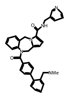 CNCc1ccccc1-c1ccc(C(=O)N2Cc3ccc(C(=O)NCc4cccnc4)n3Cc3ccccc32)cc1